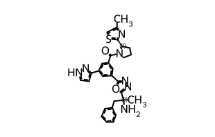 Cc1csc([C@H]2CCCN2C(=O)c2cc(-c3cc[nH]n3)cc(-c3nnc([C@](C)(N)Cc4ccccc4)o3)c2)n1